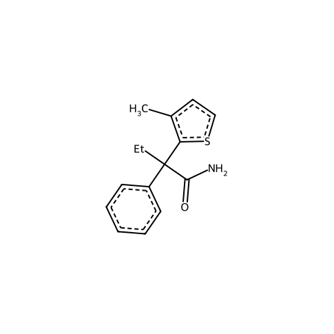 CCC(C(N)=O)(c1ccccc1)c1sccc1C